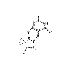 Cc1nc2cc3c(cc2c(=O)[nH]1)N(C)C(=O)C31CC1